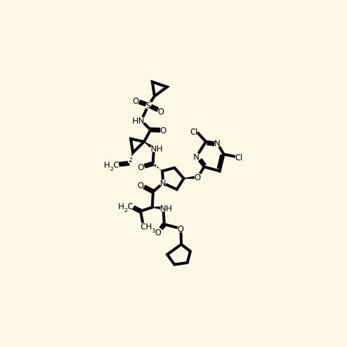 C=C[C@@H]1C[C@]1(NC(=O)[C@@H]1C[C@@H](Oc2cc(Cl)nc(Cl)n2)CN1C(=O)[C@@H](NC(=O)OC1CCCC1)C(=C)C)C(=O)NS(=O)(=O)C1CC1